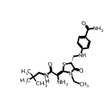 CCN1C(=O)[C@@H](CNc2ccc(C(N)=O)cc2)S/C1=C(/N)C(=O)NCC(C)(C)C